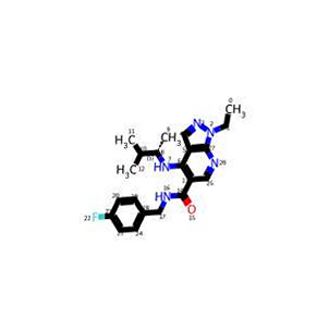 CCn1ncc2c(N[C@@H](C)C(C)C)c(C(=O)NCc3ccc(F)cc3)cnc21